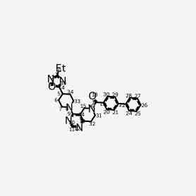 CCc1noc(C2CCN(c3ncnc4c3CN(C(=O)c3ccc(-c5ccccc5)cc3)CC4)CC2)n1